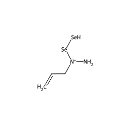 C=CC[N+](N)[Se][SeH]